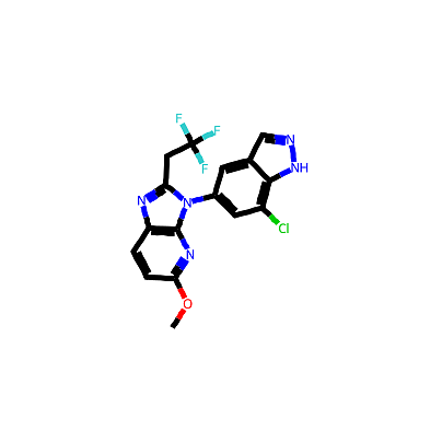 COc1ccc2nc(CC(F)(F)F)n(-c3cc(Cl)c4[nH]ncc4c3)c2n1